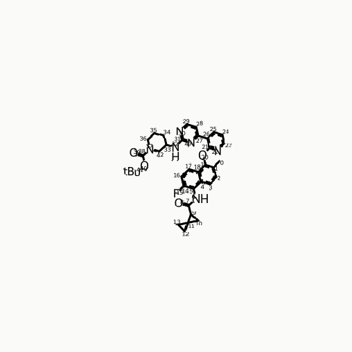 Cc1ccc2c(NC(=O)C3CC34CC4)c(F)ccc2c1Oc1ncccc1-c1ccnc(NC2CCCN(C(=O)OC(C)(C)C)C2)n1